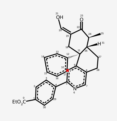 CCOC(=O)c1ccc(-c2ncc3c(n2)[C@@]2(c4ccccc4)CC(=CO)C(=O)[C@@H](C)[C@@H]2CC3)cc1